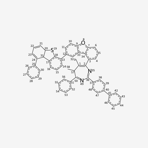 CC1=C(c2cccc3oc4ccc(-c5cccc6c5SC5C=CC=C(c7ccccc7)C65)cc4c23)N=C(c2ccc(-c3ccccc3)cc2)N=C(c2ccccc2)C1C